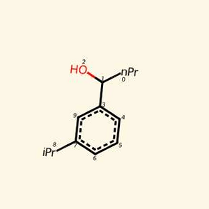 CCCC(O)c1cccc(C(C)C)c1